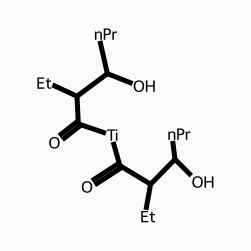 CCCC(O)C(CC)[C](=O)[Ti][C](=O)C(CC)C(O)CCC